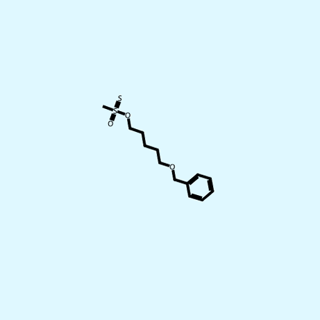 CS(=O)(=S)OCCCCCOCc1ccccc1